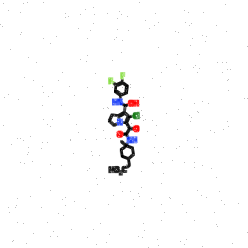 CC1(NC(=O)C(=O)c2c(Cl)c(C(O)Nc3ccc(F)c(F)c3)c3n2CCC3)CCC(CC(=O)O)CC1